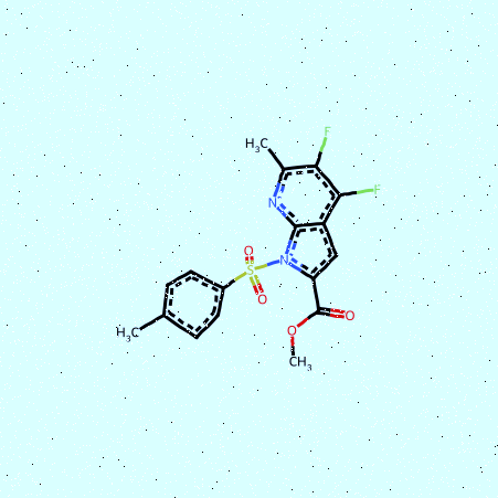 COC(=O)c1cc2c(F)c(F)c(C)nc2n1S(=O)(=O)c1ccc(C)cc1